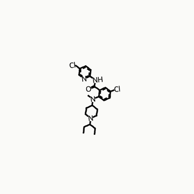 CCC(CC)N1CCC(N(C)c2ccc(Cl)cc2C(=O)Nc2ccc(Cl)cn2)CC1